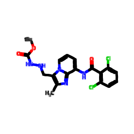 Cc1nc2c(NC(=O)c3c(Cl)cccc3Cl)cccn2c1CNNC(=O)OC(C)(C)C